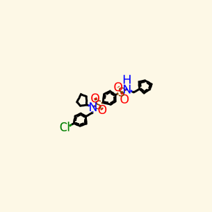 O=S(=O)(NCc1ccccc1)c1ccc(S(=O)(=O)N(Cc2ccc(Cl)cc2)C2CCCC2)cc1